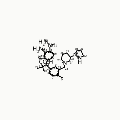 Cc1ccc(C(c2ccc(N(C)N)c(N)c2C)C(C)(C)C(=O)O)cc1CN1CCCC(N2C=CCN2)C1